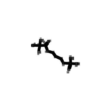 CCC(C)(Cl)C(=O)OCCCOP(=O)(O)O